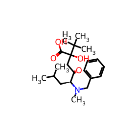 CC(C)C[C@@H](C(=O)CC(O)(C(=O)O)C(C)(C)C)N(C)Cc1ccccc1